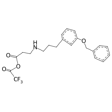 O=C(CCNCCCc1cccc(OCc2ccccc2)c1)OC(=O)C(F)(F)F